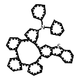 c1ccc(N(c2ccccc2)c2ccc3c4ccccc4c4ccccc4c4ccccc4c4cc5c(cc4c3c2)sc2ccccc25)cc1